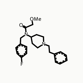 COCC(=O)N(Cc1ccc(F)cc1)C1CCN(CCc2ccccc2)CC1